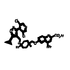 CCCc1cc(C(=O)O)nc2ccc(OCC3(C)CCC(CC)(OCc4c(-c5c(Cl)cncc5Cl)noc4C4CC4)CC3)cc12